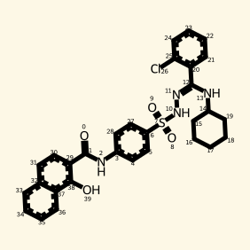 O=C(Nc1ccc(S(=O)(=O)N/N=C(\NC2CCCCC2)c2ccccc2Cl)cc1)c1ccc2ccccc2c1O